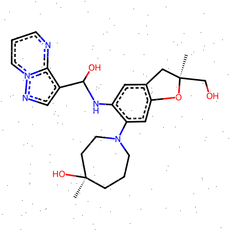 C[C@@]1(O)CCCN(c2cc3c(cc2NC(O)c2cnn4cccnc24)C[C@@](C)(CO)O3)CC1